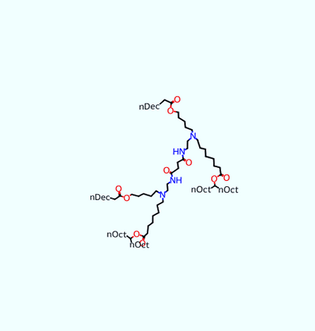 CCCCCCCCCCCC(=O)OCCCCCN(CCCCCCCC(=O)OC(CCCCCCCC)CCCCCCCC)CCNC(=O)CCC(=O)NCCN(CCCCCCCC(=O)OC(CCCCCCCC)CCCCCCCC)CCCCCOC(=O)CCCCCCCCCCC